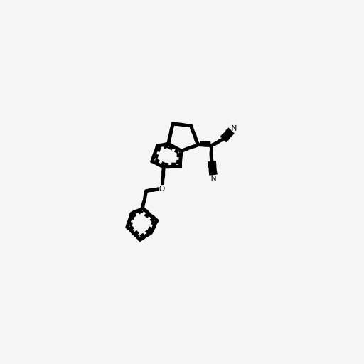 N#CC(C#N)=C1CCc2ccc(OCc3ccccc3)cc21